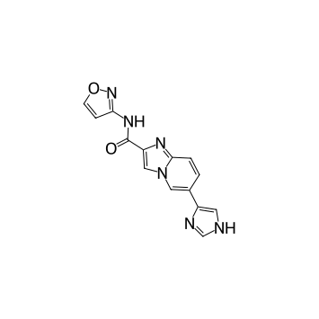 O=C(Nc1ccon1)c1cn2cc(-c3c[nH]cn3)ccc2n1